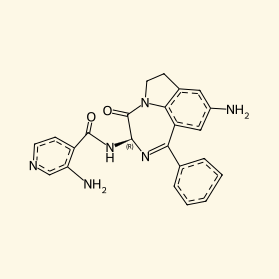 Nc1cc2c3c(c1)C(c1ccccc1)=N[C@@H](NC(=O)c1ccncc1N)C(=O)N3CC2